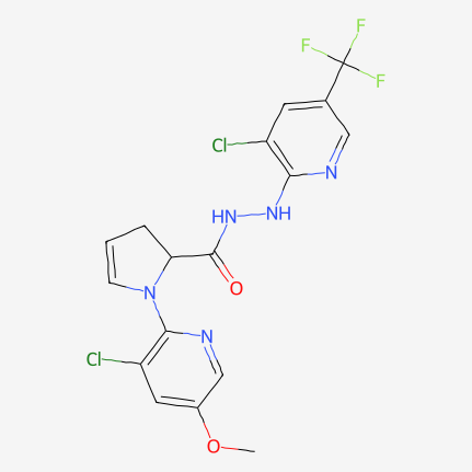 COc1cnc(N2C=CCC2C(=O)NNc2ncc(C(F)(F)F)cc2Cl)c(Cl)c1